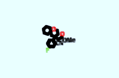 COC(=O)C(C#N)C1(c2ccc(F)cc2)CCOC2(CCCCC2)C1